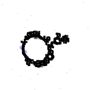 COC1C(=O)C(C)C[C@H](C)/C=C/C=C/C=C(\C)[C@@H](OC)C[C@@H]2CC[C@@H](C)[C@@](O)(O2)C(=O)C(=O)N2CCCCC2C(=O)O[C@H]([C@H](C)C[C@@H]2CC[C@H](n3cnnn3)[C@H](OC)C2)CC(=O)[C@H](C)/C=C(\C)[C@H]1O